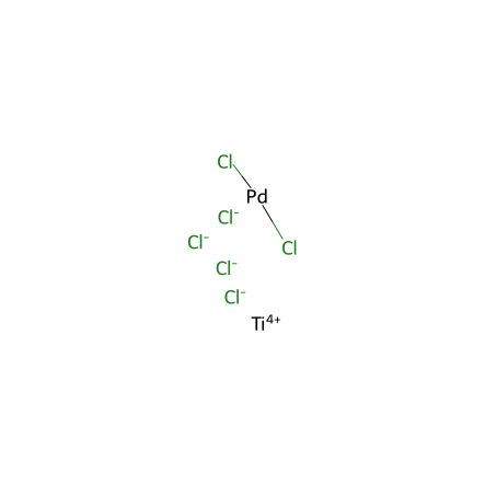 [Cl-].[Cl-].[Cl-].[Cl-].[Cl][Pd][Cl].[Ti+4]